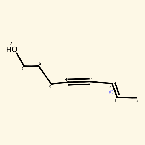 C/C=C/C#CCCCO